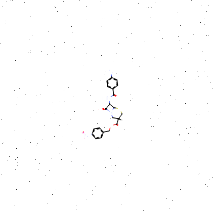 CC1(C(=O)OCc2ccc([N+](=O)[O-])cc2)CS[C@@H]2C(NC(=O)c3ccc(N)cc3)C(=O)N2C1